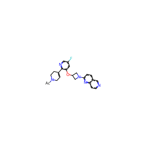 CC(=O)N1CC=C(c2ncc(F)cc2OC2CN(c3ccc4cnccc4n3)C2)CC1